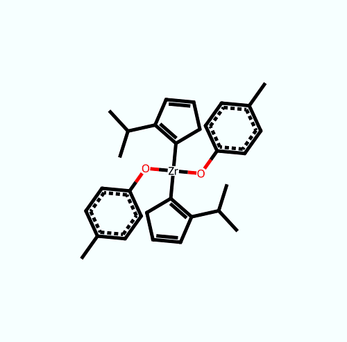 Cc1ccc([O][Zr]([O]c2ccc(C)cc2)([C]2=C(C(C)C)C=CC2)[C]2=C(C(C)C)C=CC2)cc1